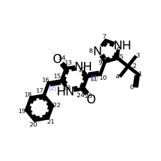 C=CC(C)(C)c1[nH]cnc1/C=c1\[nH]c(=O)/c(=C/c2ccccc2)[nH]c1=O